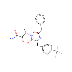 CC(NC(=O)[C@H](Cc1ccc(C(F)(F)F)cc1)NC(=O)Cc1ccccc1)C(=O)C(N)=O